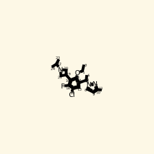 CCOc1c(C(C)n2ccc(C)n2)cc(Cl)c(F)c1C1CN(C(C)C)C1